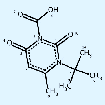 Cc1cc(=O)n(C(=O)O)c(=O)n1C(C)(C)C